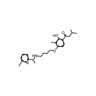 Cc1cccc(C(C)NCCCCOc2ccc(C(=O)CC(C)C)c(O)c2C)n1